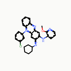 COc1ncccc1Nc1cc2nc3ccccc3n(-c3cccc(Cl)c3)c-2c/c1=N\C1CCCCC1